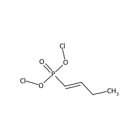 CCC=CP(=O)(OCl)OCl